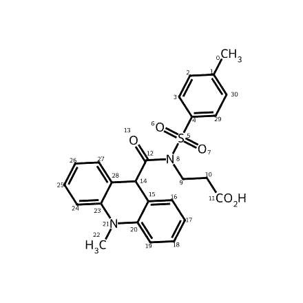 Cc1ccc(S(=O)(=O)N(CCC(=O)O)C(=O)C2c3ccccc3N(C)c3ccccc32)cc1